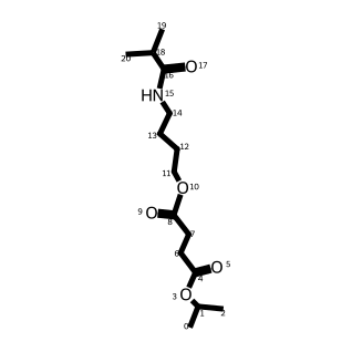 CC(C)OC(=O)CCC(=O)OCCCCNC(=O)C(C)C